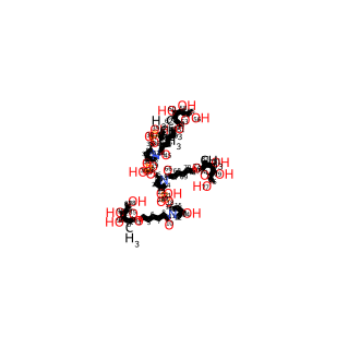 CC1[C@H](OCCCCCC(=O)N2C[C@H](O)C[C@H]2COP(=O)(O)O[C@@H]2C[C@@H](COP(=O)(O)O[C@@H]3C[C@@H](COP(=O)(O)C(C)C)N(C(=O)CCCCCO[C@@H]4OC(CO)[C@H](O)[C@H](O)C4C)C3)N(C(=O)CCCCCO[C@@H]3OC(CO)[C@H](O)[C@H](O)C3C)C2)OC(CO)[C@H](O)[C@@H]1O